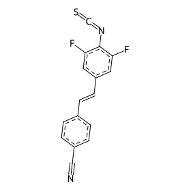 N#Cc1ccc(/C=C/c2cc(F)c(N=C=S)c(F)c2)cc1